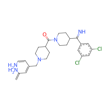 C=C(N)/C=C(\C=C/N)CN1CCC(C(=O)N2CCC(C(=N)c3cc(Cl)cc(Cl)c3)CC2)CC1